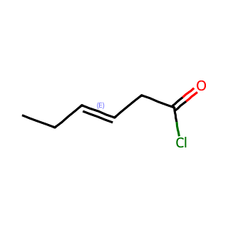 CC/C=C/CC(=O)Cl